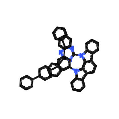 c1ccc(-c2ccc(-c3cc(-c4ccccc4)cc(-n4c5ccccc5c5ccc6c7ccccc7n(-c7nc(-c8ccccc8)nc(-c8ccccc8)n7)c6c54)c3)cc2)cc1